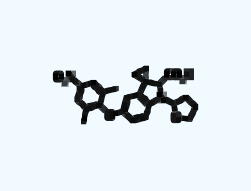 Cc1cc([N+](=O)[O-])cc(C)c1Oc1ccc2c(c1)C1(CC1)C(C(=O)O)N2C1CCCO1